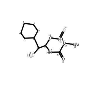 CC(C1CCCCC1)C(NC(=O)OC(C)(C)C)O[PH2]=O